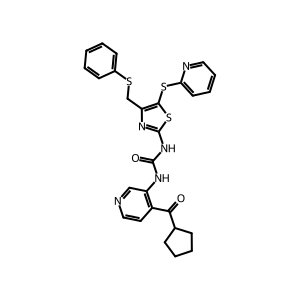 O=C(Nc1nc(CSc2ccccc2)c(Sc2ccccn2)s1)Nc1cnccc1C(=O)C1CCCC1